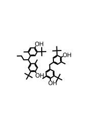 CCCC(c1cc(C(C)(C)C)c(O)cc1C)c1cc(C(C)(C)C)c(O)cc1C.Cc1cc(Cc2cc(C)c(O)c(C(C)(C)C)c2)cc(C(C)(C)C)c1O